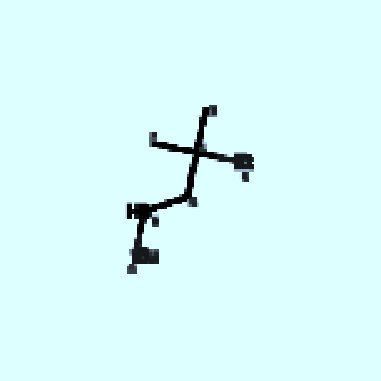 CCC(C)(C)CBC(C)(C)C